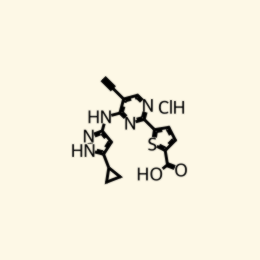 C#Cc1cnc(-c2ccc(C(=O)O)s2)nc1Nc1cc(C2CC2)[nH]n1.Cl